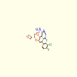 Nc1ncnc2c(-c3ccc(F)c(Cl)c3F)cc3c(c12)OC[C@@H](C1COC1)O3